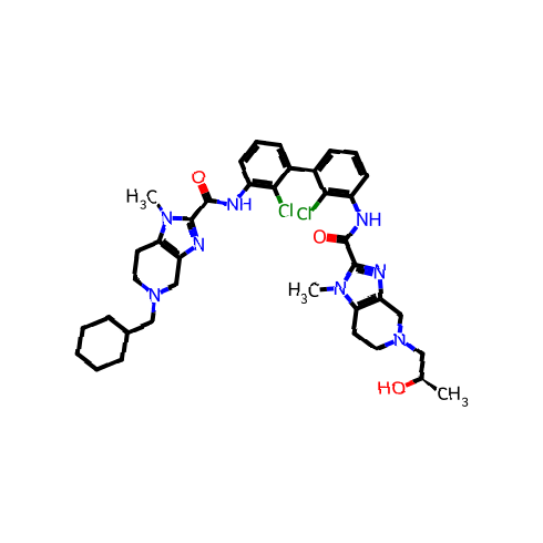 C[C@@H](O)CN1CCc2c(nc(C(=O)Nc3cccc(-c4cccc(NC(=O)c5nc6c(n5C)CCN(CC5CCCCC5)C6)c4Cl)c3Cl)n2C)C1